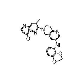 Cc1cc2nccc(=O)n2nc1N1CCc2ncc(Nc3cccc4c3OCCO4)cc2C1